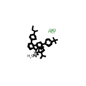 CCC1=Cc2c(-c3ccc(C(C)CC)cc3)cccc2[CH]1[Zr]([CH3])([CH3])(=[SiH2])[CH]1C(C(C)C)=Cc2c(-c3ccc(C(C)(C)C)cc3)cccc21.Cl.Cl